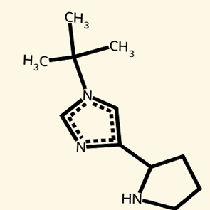 CC(C)(C)n1cnc(C2CCCN2)c1